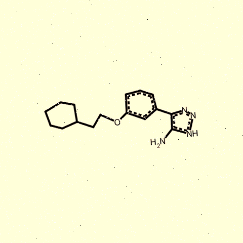 Nc1[nH]nnc1-c1cccc(OCCC2CCCCC2)c1